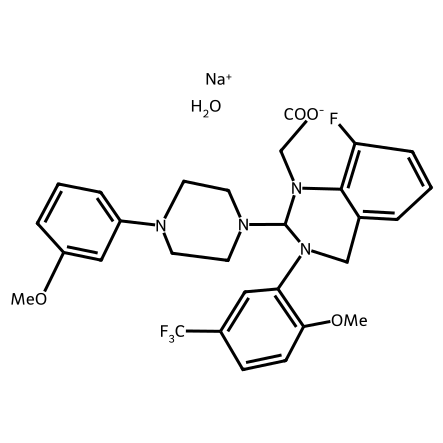 COc1cccc(N2CCN(C3N(c4cc(C(F)(F)F)ccc4OC)Cc4cccc(F)c4N3CC(=O)[O-])CC2)c1.O.[Na+]